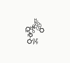 NC(=O)C1(C(Cc2ccccc2)NC(=O)c2cccnc2-n2ccc(-c3ccccc3OC(F)(F)F)n2)OCCO1